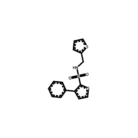 O=S(=O)(NCc1cccs1)c1sccc1-c1ccccc1